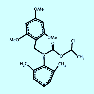 COc1cc(OC)c(CN(C(=O)OC(C)Cl)c2c(C)cccc2C)c(OC)c1